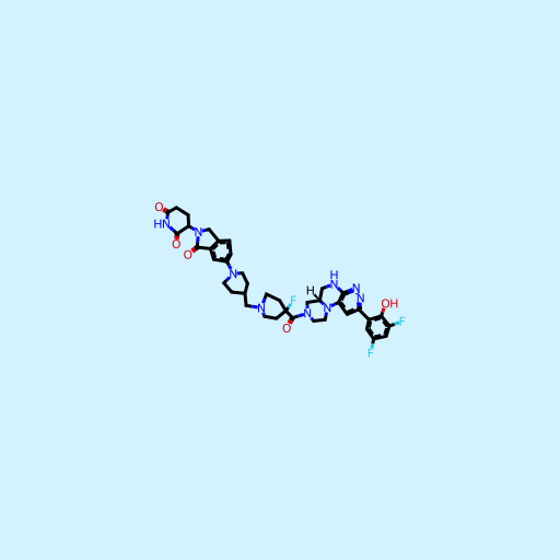 O=C1CCC(N2Cc3ccc(N4CCC(CN5CCC(F)(C(=O)N6CCN7c8cc(-c9cc(F)cc(F)c9O)nnc8NC[C@H]7C6)CC5)CC4)cc3C2=O)C(=O)N1